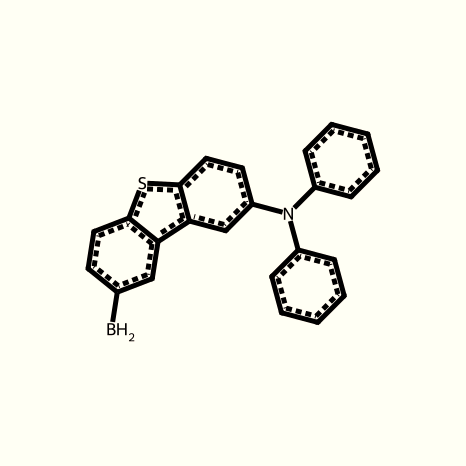 Bc1ccc2sc3ccc(N(c4ccccc4)c4ccccc4)cc3c2c1